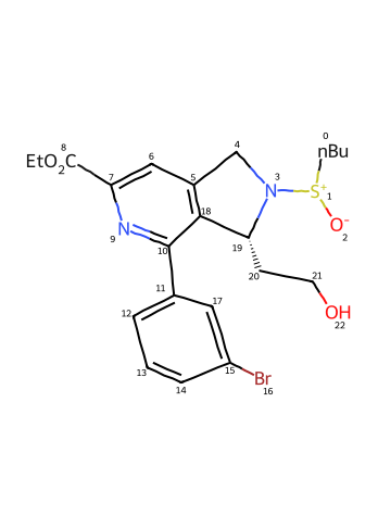 CCCC[S+]([O-])N1Cc2cc(C(=O)OCC)nc(-c3cccc(Br)c3)c2[C@H]1CCO